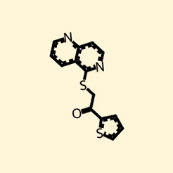 O=C(CSc1nccc2ncccc12)c1cccs1